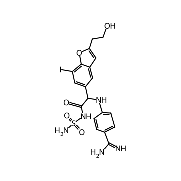 N=C(N)c1ccc(NC(C(=O)NS(N)(=O)=O)c2cc(I)c3oc(CCO)cc3c2)cc1